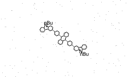 CCCCn1c2ccccc2c2cc(-c3ccc(-c4c5ccccc5c(-c5ccc(-c6ccc7c(c6)c6ccccc6n7CCCC)cc5)c5ccccc45)cc3)ccc21